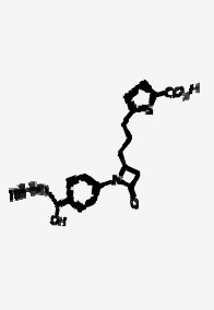 CCCCCCC(O)c1ccc(N2C(=O)C[C@@H]2CCCc2ccc(C(=O)O)s2)cc1